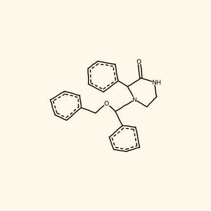 O=C1NCCN(C(OCc2ccccc2)c2ccccc2)C1c1ccccc1